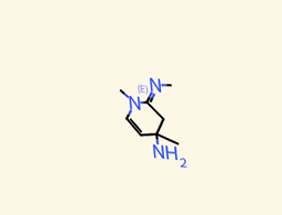 C/N=C1\CC(C)(N)C=CN1C